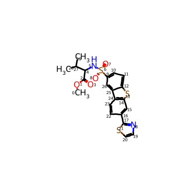 COC(=O)C(NS(=O)(=O)c1ccc2sc3cc(-c4nccs4)ccc3c2c1)C(C)C